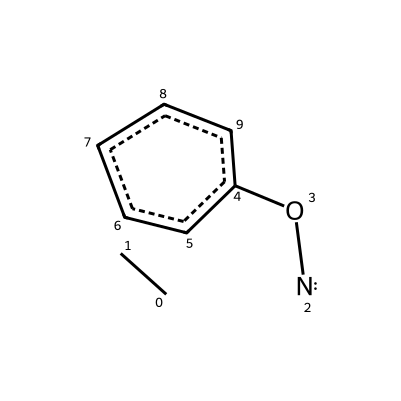 CC.[N]Oc1ccccc1